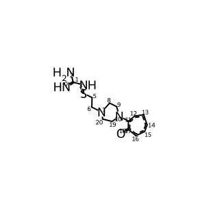 N=C(N)NSCCN1CCN(c2cccccc2=O)CC1